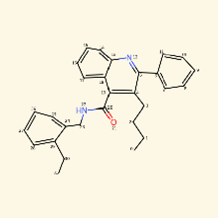 CCCCc1c(-c2ccccc2)nc2ccccc2c1C(=O)NCc1ccccc1CC